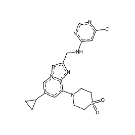 O=S1(=O)CCN(c2cc(C3CC3)cn3cc(CNc4cc(Cl)ncn4)nc23)CC1